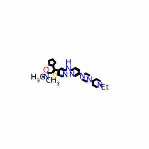 CCN1CCC(N2CCN(c3ccc(Nc4cc5c(C6CCCC6)c(C(=O)N(C)C)sc5cn4)nc3)CC2)CC1